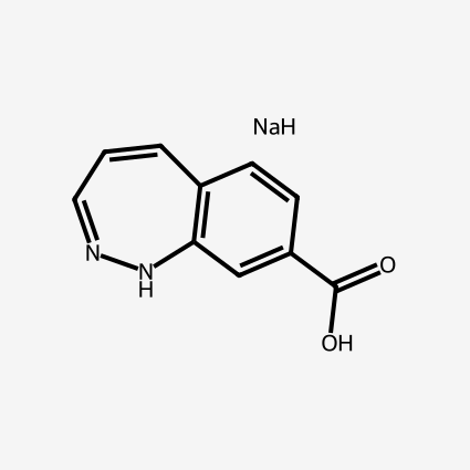 O=C(O)c1ccc2c(c1)NN=CC=C2.[NaH]